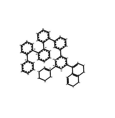 C1=CC2=C(CC1)CCC=C2c1cc(-c2cccc(-c3ccccc3-c3ccccc3-c3ccccc3-c3ccccc3)c2)nc(C2=CCCCC2)n1